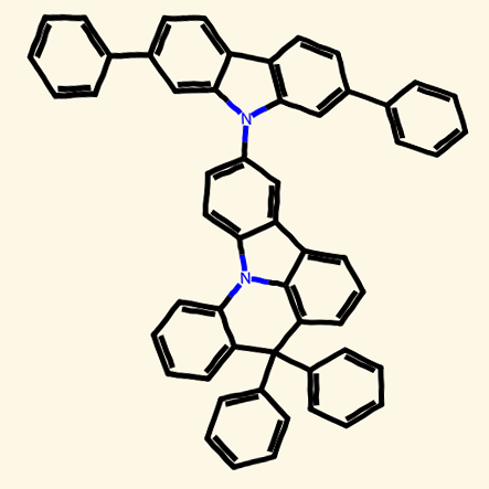 c1ccc(-c2ccc3c4ccc(-c5ccccc5)cc4n(-c4ccc5c(c4)c4cccc6c4n5-c4ccccc4C6(c4ccccc4)c4ccccc4)c3c2)cc1